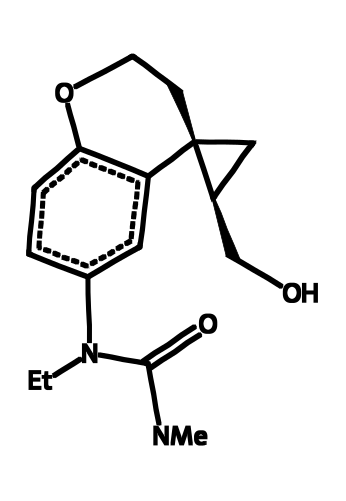 CCN(C(=O)NC)c1ccc2c(c1)[C@]1(CCO2)C[C@H]1CO